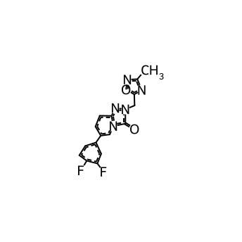 Cc1noc(Cn2nc3ccc(-c4ccc(F)c(F)c4)cn3c2=O)n1